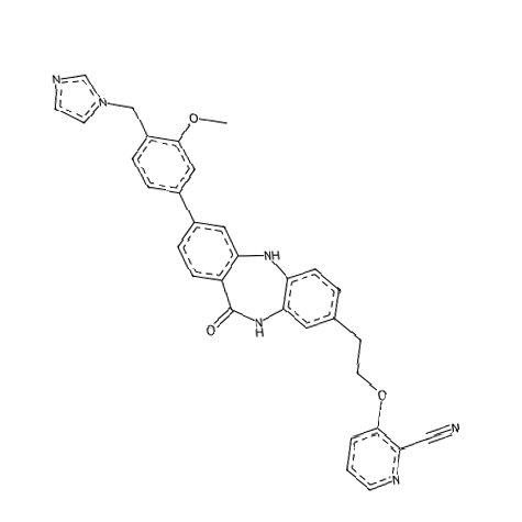 COc1cc(-c2ccc3c(c2)Nc2ccc(CCOc4cccnc4C#N)cc2NC3=O)ccc1Cn1ccnc1